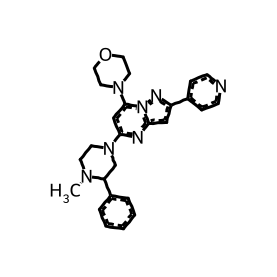 CN1CCN(c2cc(N3CCOCC3)n3nc(-c4ccncc4)cc3n2)CC1c1ccccc1